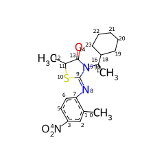 Cc1cc([N+](=O)[O-])ccc1N=C1SC(C)C(=O)N1[C@H](C)C1CCCCC1